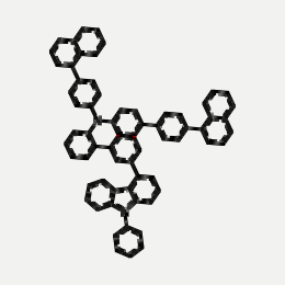 c1ccc(-n2c3ccccc3c3c(-c4cccc(-c5ccccc5N(c5ccc(-c6ccc(-c7cccc8ccccc78)cc6)cc5)c5ccc(-c6cccc7ccccc67)cc5)c4)cccc32)cc1